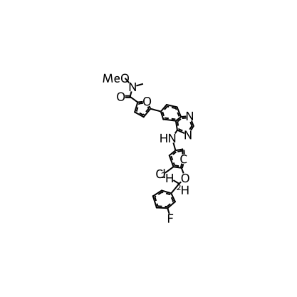 [2H]C([2H])(Oc1ccc(Nc2ncnc3ccc(-c4ccc(C(=O)N(C)OC)o4)cc23)cc1Cl)c1cccc(F)c1